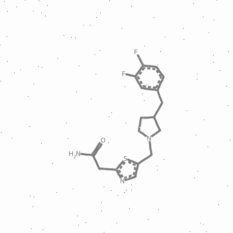 NC(=O)Cc1ncc(CN2CCC(Cc3ccc(F)c(F)c3)C2)s1